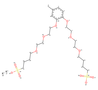 Cc1ccc(OCCOCCOCCCCS(=O)(=O)[O-])c(OCCOCCOCCCCS(=O)(=O)[O-])c1.[K+].[K+]